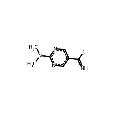 CN(C)c1ncc(C(=N)Cl)cn1